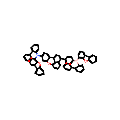 c1ccc(-c2ccccc2B(c2ccc(-c3ccc4c5c(cccc35)Oc3cc(N(c5ccccc5-c5ccccc5)c5cccc6c5oc5ccccc56)ccc3-4)cc2)c2cccc3c2oc2ccccc23)cc1